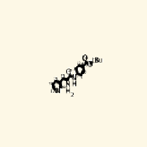 CC(C)(C)OC(=O)c1ccc(NC(=O)[C@@H](N)Cc2cccnc2)cc1